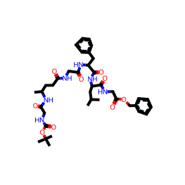 CC(C)CC(NC(=O)C(Cc1ccccc1)NC(=O)CNC(=O)CCC(C)NC(=O)CNC(=O)OC(C)(C)C)C(=O)NCC(=O)OCc1ccccc1